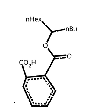 CCCCCCC(CCCC)OC(=O)c1ccccc1C(=O)O